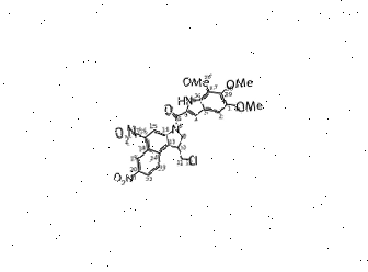 COc1cc2cc(C(=O)N3CC(CCl)c4c3cc([N+](=O)[O-])c3cc([N+](=O)[O-])ccc43)[nH]c2c(OC)c1OC